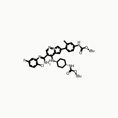 Cc1cc(NC(=O)OC(C)(C)C)ccc1-c1cc2c(N[C@H]3CC[C@H](NC(=O)OC(C)(C)C)CC3)c(/C(N)=N/c3cc(F)ccc3Cl)cnn2c1